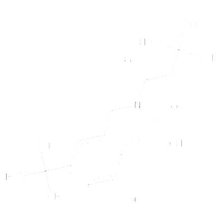 CC(C)(C)OC(=O)N(Cc1cc(Br)cc(C(C)(C)C)c1)S(C)(=O)=O